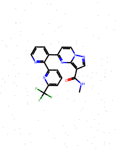 CNC(=O)c1cnn2ccc(-c3cccnc3-c3cccc(C(F)(F)F)n3)nc12